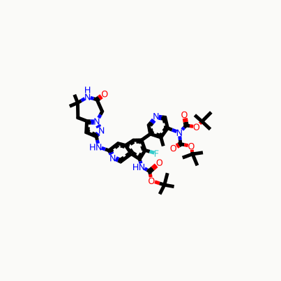 Cc1c(-c2cc3cc(Nc4cc5n(n4)CC(=O)NC(C)(C)C5)ncc3c(NC(=O)OC(C)(C)C)c2F)cncc1N(C(=O)OC(C)(C)C)C(=O)OC(C)(C)C